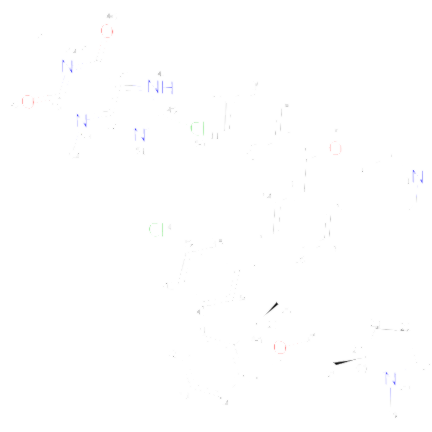 CN(C)CCOC(c1ccccc1)c1ccccc1.CN1CCC[C@@H]1CCO[C@](C)(c1ccccc1)c1ccc(Cl)cc1.Cn1c(=O)c2[nH]c(Cl)nc2n(C)c1=O